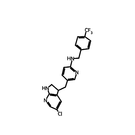 FC(F)(F)c1ccc(CNc2ccc(CC3CNc4ncc(Cl)cc43)cn2)cc1